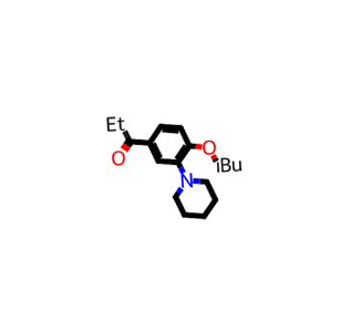 CCC(=O)c1ccc(OC(C)CC)c(N2CCCCC2)c1